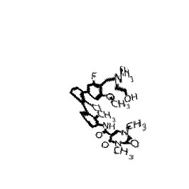 COc1cc(-c2cccc(-c3cccc(NC(=O)C4=CN(C)C5OC5N(C)C4=O)c3C)c2Cl)cc(F)c1CN(C)CCO